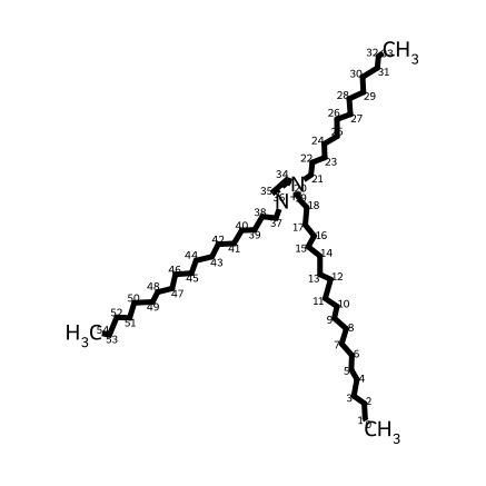 CCCCCCCCCCCCCCCCCCCc1n(CCCCCCCCCCCCC)cc[n+]1CCCCCCCCCCCCCCCCCC